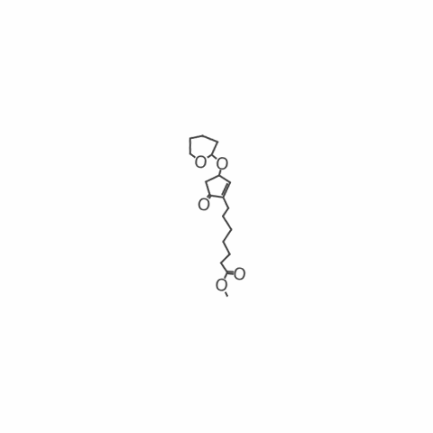 COC(=O)CCCCCCC1=CC(OC2CCCCO2)CC1=O